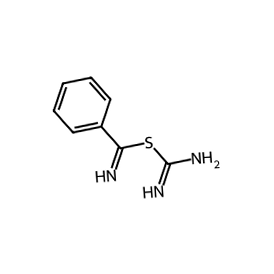 N=C(N)SC(=N)c1ccccc1